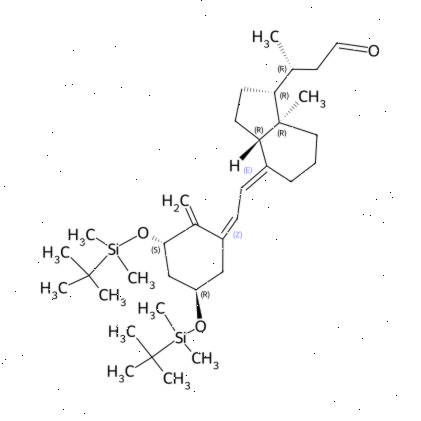 C=C1/C(=C\C=C2/CCC[C@]3(C)[C@@H]([C@H](C)CC=O)CC[C@@H]23)C[C@@H](O[Si](C)(C)C(C)(C)C)C[C@@H]1O[Si](C)(C)C(C)(C)C